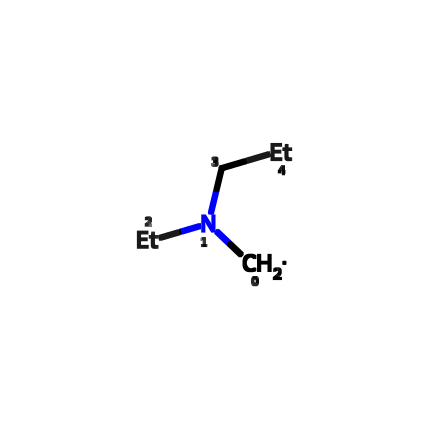 [CH2]N(CC)CCC